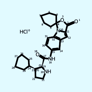 Cl.O=C1OC2(CCCCC2)n2c1cc1cc(NC(=O)[C@H]3NCC[C@H]3C3CCCCC3)ccc12